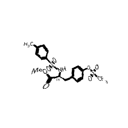 COC(=O)[C@H](Cc1ccc(OS(=O)(=O)C(F)(F)F)cc1)NS(=O)(=O)c1ccc(C)cc1